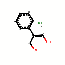 Cl.OC=C(CO)c1ccccc1